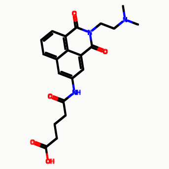 CN(C)CCN1C(=O)c2cccc3cc(NC(=O)CCCC(=O)O)cc(c23)C1=O